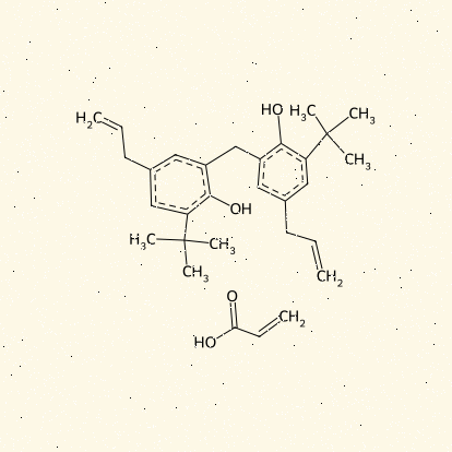 C=CC(=O)O.C=CCc1cc(Cc2cc(CC=C)cc(C(C)(C)C)c2O)c(O)c(C(C)(C)C)c1